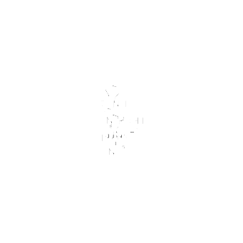 CC(C)C[C@H](NC(=O)C(=O)Nc1ccccc1F)C(=O)N[C@@H](C[C@@H]1CCCNC1=O)C(=O)CO